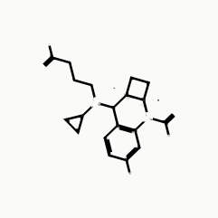 O=C(O)CCCN(C1CC1)C1c2ccc(F)cc2N(C(=O)O)[C@@H]2CC[C@H]12